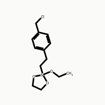 CCO[Si]1(CCc2ccc(CCl)cc2)OCCO1